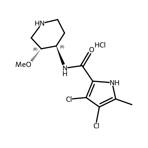 CO[C@@H]1CNCC[C@H]1NC(=O)c1[nH]c(C)c(Cl)c1Cl.Cl